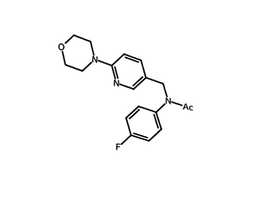 CC(=O)N(Cc1ccc(N2CCOCC2)nc1)c1ccc(F)cc1